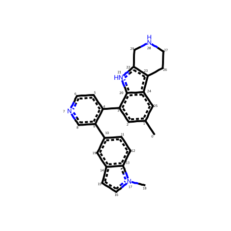 Cc1cc(-c2ccncc2-c2ccc3c(ccn3C)c2)c2[nH]c3c(c2c1)CCNC3